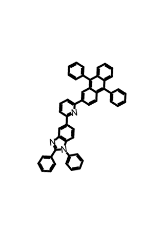 c1ccc(-c2c3ccccc3c(-c3ccccc3)c3cc(-c4cccc(-c5ccc6c(c5)nc(-c5ccccc5)n6-c5ccccc5)n4)ccc23)cc1